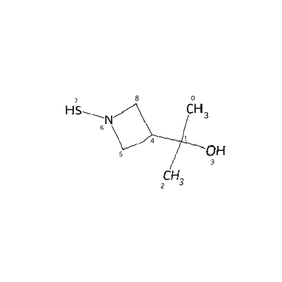 CC(C)(O)C1CN(S)C1